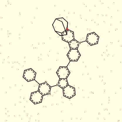 c1ccc(-c2nc(-n3c4ccccc4c4cc(-c5ccc6c(c5)c5cc7c(cc5n6-c5ccccc5)C5CC6CC(CC7C6)C5)ccc43)nc3ccccc23)cc1